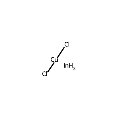 [Cl][Cu][Cl].[InH3]